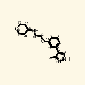 Cc1n[nH]cc1-c1c[c]cc(OCCNC2CCOCC2)c1